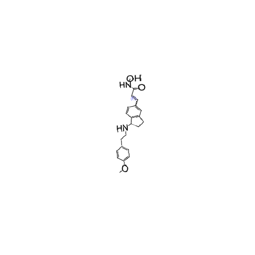 COc1ccc(CCNC2CCc3cc(/C=C/C(=O)NO)ccc32)cc1